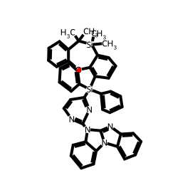 CC1(C)c2ccccc2Oc2c([Si](c3ccccc3)(c3ccccc3)c3ccnc(-n4c5ccccc5n5c6ccccc6nc45)n3)cccc2[Si]1(C)C